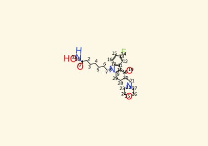 O=C(CCCCCCn1c2c(c3cc(F)ccc31)C(=O)C(CN1CCOCC1)CC2)NO